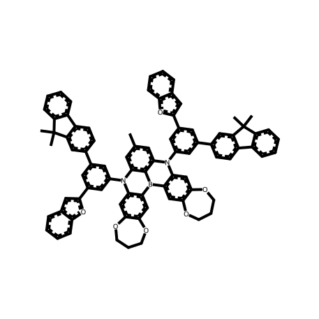 Cc1cc2c3c(c1)N(c1cc(-c4ccc5c(c4)C(C)(C)c4ccccc4-5)cc(-c4cc5ccccc5o4)c1)c1cc4c(cc1B3c1cc3c(cc1N2c1cc(-c2ccc5c(c2)C(C)(C)c2ccccc2-5)cc(-c2cc5ccccc5o2)c1)OCCCO3)OCCCO4